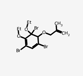 C=C(C)COC1C(Br)=CC(Br)=C(OCC)C1(Br)OCC